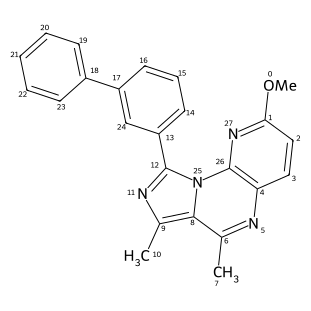 COc1ccc2nc(C)c3c(C)nc(-c4cccc(-c5ccccc5)c4)n3c2n1